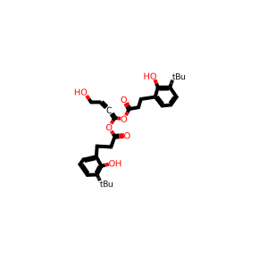 CC(C)(C)c1cccc(CCC(=O)OC(=C=CCO)OC(=O)CCc2cccc(C(C)(C)C)c2O)c1O